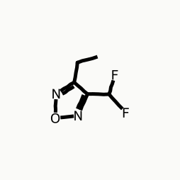 CCc1nonc1C(F)F